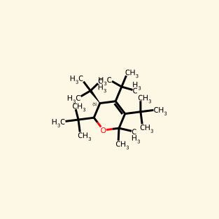 CC(C)(C)C1=C(C(C)(C)C)C(C)(C)OC(C(C)(C)C)[C@H]1C(C)(C)C